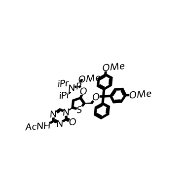 COc1ccc(C(OC[C@H]2S[C@@H](n3cnc(NC(C)=O)nc3=O)CC2OP(OC)N(C(C)C)C(C)C)(c2ccccc2)c2ccc(OC)cc2)cc1